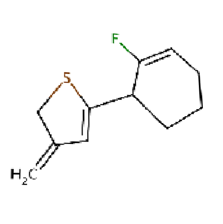 C=C1C=C(C2CCCC=C2F)SC1